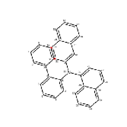 c1ccc(-c2ccccc2N(c2ccc3ccccc3c2)c2cccc3ccccc23)cc1